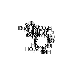 CCC(C)C(N)C1=NC(C(=O)NC(CC(C)C)C(=O)N[C@@H](CCC(=O)O)C(=O)NC(C(=O)NC2CCCCNC(=O)[C@H](CC(=O)O)NC(=O)C(Cc3cnc[nH]3)NC(=O)[C@@H](Cc3ccccc3)NC(=O)C(C(C)CC)NC(=O)[C@H](CCCN)NC2=O)C(C)CC)CS1